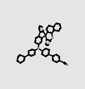 N#Cc1ccc(-c2ccc(N(c3ccc(-c4ccccc4)cc3)c3ccc4c(c3)C3(c5ccccc5Oc5c3ccc3ccccc53)c3ccccc3-4)cc2)cc1